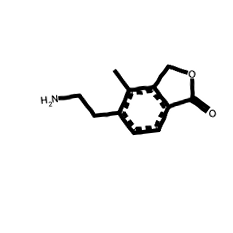 Cc1c(CCN)ccc2c1COC2=O